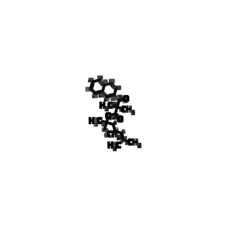 C=CC(C)(CCC=C(C)C)OC(=O)C(C)(C)C(=O)c1ccc2ccccc2c1